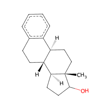 C[C@]12CC[C@@H]3c4ccccc4CC[C@H]3[C@@H]1CCC2O